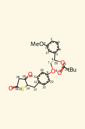 COc1cccc([C@@H](COc2ccc(CC3SC(=O)CC3=O)cc2)OC(=O)C(C)(C)C)c1